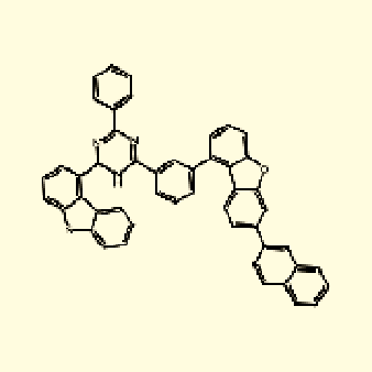 c1ccc(C2=NC(c3cccc4sc5ccccc5c34)NC(c3cccc(-c4cccc5oc6cc(-c7ccc8ccccc8c7)ccc6c45)c3)=N2)cc1